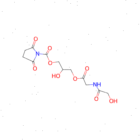 O=C(CO)NCC(=O)OCC(O)COC(=O)N1C(=O)CCC1=O